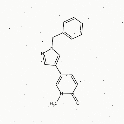 Cn1cc(-c2cnn(Cc3ccccc3)c2)ccc1=O